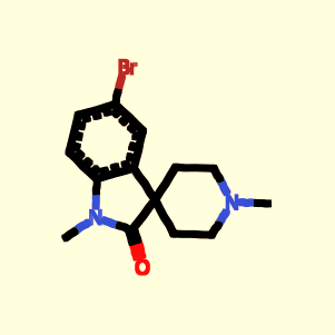 CN1CCC2(CC1)C(=O)N(C)c1ccc(Br)cc12